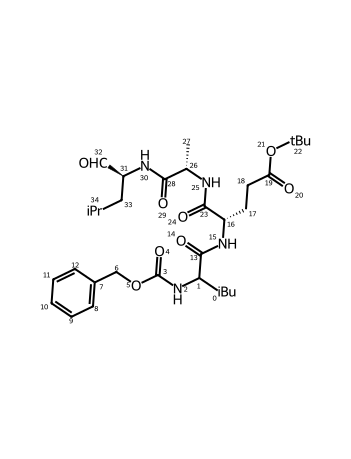 CCC(C)C(NC(=O)OCc1ccccc1)C(=O)N[C@@H](CCC(=O)OC(C)(C)C)C(=O)N[C@@H](C)C(=O)N[C@H](C=O)CC(C)C